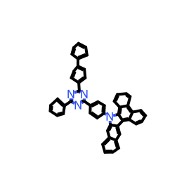 c1ccc(-c2ccc(-c3nc(-c4ccccc4)nc(-c4ccc(-n5c6cc7ccccc7cc6c6c7ccccc7c7ccccc7c65)cc4)n3)cc2)cc1